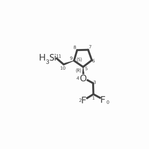 FC(F)CO[C@@H]1CCC[C@@H]1C[SiH3]